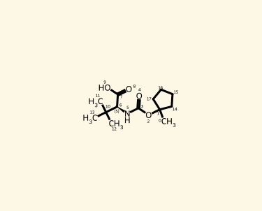 CC1(OC(=O)N[C@H](C(=O)O)C(C)(C)C)CCCC1